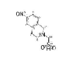 O=Nc1ccc2c(c1)CCN(C[SH](=O)=O)C2